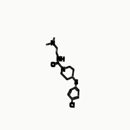 CN(C)CCNC(=O)N1CCC(Sc2ccc(Cl)cc2)CC1